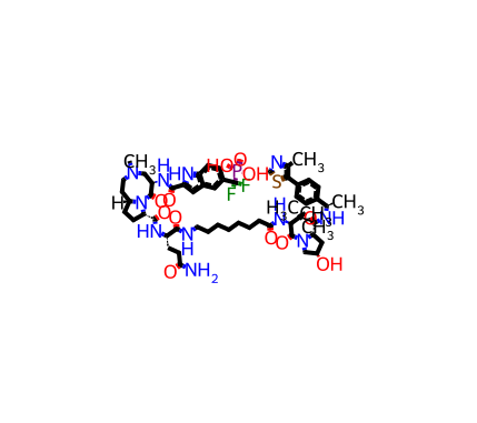 Cc1ncsc1-c1ccc([C@H](C)NC(=O)[C@@H]2C[C@@H](O)CN2C(=O)[C@@H](NC(=O)CCCCCCCNC(=O)[C@H](CCC(N)=O)NC(=O)[C@@H]2CC[C@@H]3CCN(C)C[C@H](NC(=O)c4cc5cc(C(F)(F)P(=O)(O)O)ccc5[nH]4)C(=O)N32)C(C)(C)C)cc1